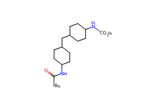 CC(C)(C)C(=O)NC1CCC(CC2CCC(NC(=O)O)CC2)CC1